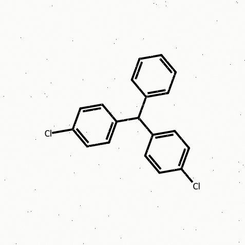 Clc1ccc([C](c2ccccc2)c2ccc(Cl)cc2)cc1